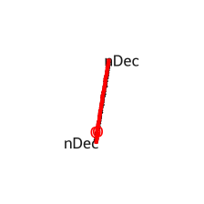 CCCCCCCCCCCCCCCCCCCCCCCCCCCCCCCCCCCCCCCCCCCCCCCCCCCCCCCCCCCCCCOC(=O)CCCCCCCCCCCCCCCCC